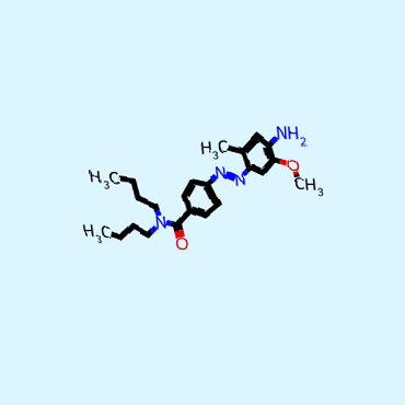 CCCCN(CCCC)C(=O)c1ccc(N=Nc2cc(OC)c(N)cc2C)cc1